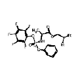 CCC(CC)COC(=O)C(C)N[P@](=O)(Oc1ccccc1)Oc1c(F)c(F)c(F)c(F)c1F